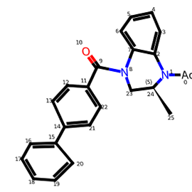 CC(=O)N1c2ccccc2N(C(=O)c2ccc(-c3ccccc3)cc2)C[C@@H]1C